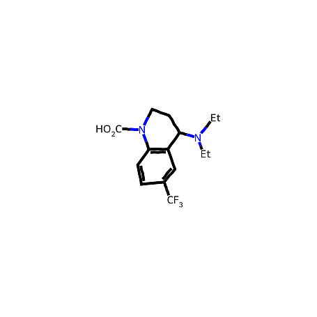 CCN(CC)C1CCN(C(=O)O)c2ccc(C(F)(F)F)cc21